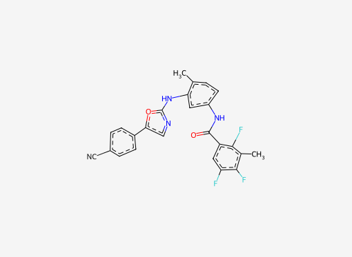 Cc1ccc(NC(=O)c2cc(F)c(F)c(C)c2F)cc1Nc1ncc(-c2ccc(C#N)cc2)o1